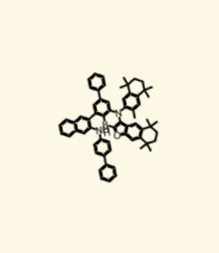 Cc1cc2c(cc1N1c3cc(-c4ccccc4)cc(-c4cc5ccccc5cc4Nc4ccc(-c5ccccc5)cc4)c3Bc3oc4cc5c(cc4c31)C(C)(C)CCC5(C)C)C(C)(C)CCC2(C)C